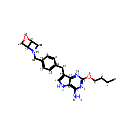 CCCCOc1nc(N)c2[nH]cc(Cc3ccc(CN4CC5OCC54)cc3)c2n1